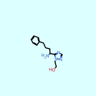 NC(CCCc1ccccc1)c1ncnn1CCO